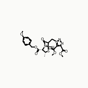 COC(=O)c1nnn(CC2C(=O)N3[C@H]2S[C@H](C)[C@@H]3C(=O)OCc2ccc(OC)cc2)c1C(=O)OC